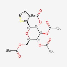 CC(C)(C)C(=O)OC[C@H]1O[C@@H](c2cccs2)[C@H](OC(=O)C(C)(C)C)[C@@H](OC(=O)C(C)(C)C)[C@@H]1OC(=O)C(C)(C)C